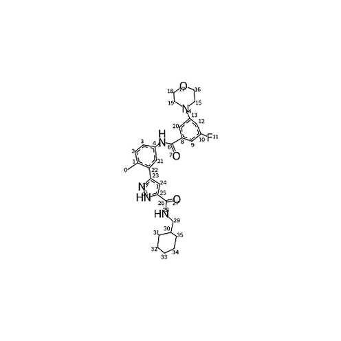 Cc1ccc(NC(=O)c2cc(F)cc(N3CCOCC3)c2)cc1-c1cc(C(=O)NCC2CCCCC2)[nH]n1